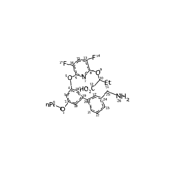 CCCOc1cc(Oc2nc(OC(CC)C(=O)O)c(F)cc2F)cc(-c2cccc(CN)c2)c1